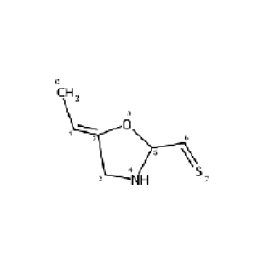 CC=C1CNC(C=S)O1